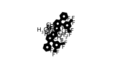 C[SiH](C)[Zr]([Cl])([Cl])([CH]1C(C(C)(C)C)=Cc2c1ccc(-c1ccccc1)c2-c1cc(C(F)(F)F)cc(C(F)(F)F)c1)[CH]1C(C(C)(C)C)=Cc2c1ccc(-c1ccccc1)c2-c1cc(C(F)(F)F)cc(C(F)(F)F)c1